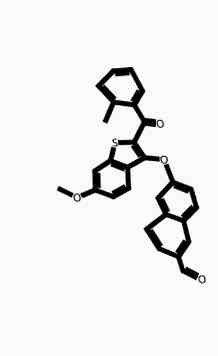 COc1ccc2c(Oc3ccc4cc(C=O)ccc4c3)c(C(=O)c3ccccc3C)sc2c1